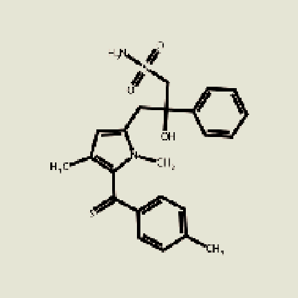 Cc1ccc(C(=S)c2c(C)cc(CC(O)(CS(N)(=O)=O)c3ccccc3)n2C)cc1